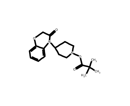 CC(C)(C)C(=O)ON1CCC(N2C(=O)COc3ccccc32)CC1